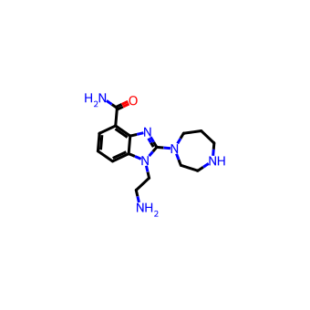 NCCn1c(N2CCCNCC2)nc2c(C(N)=O)cccc21